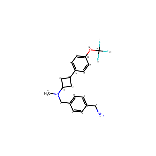 CN(Cc1ccc(CN)cc1)C1CC(c2ccc(OC(F)(F)F)cc2)C1